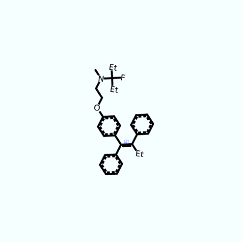 CC/C(=C(\c1ccccc1)c1ccc(OCCN(C)C(F)(CC)CC)cc1)c1ccccc1